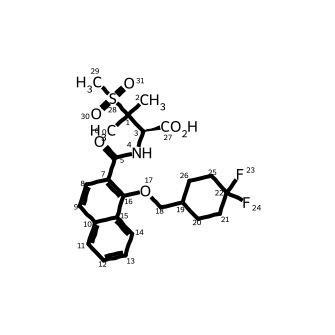 CC(C)([C@H](NC(=O)c1ccc2ccccc2c1OCC1CCC(F)(F)CC1)C(=O)O)S(C)(=O)=O